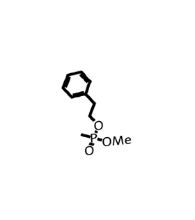 COP(C)(=O)OCCc1ccccc1